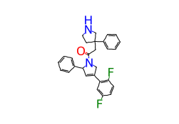 O=C(CC1(c2ccccc2)CCNC1)N1CC(c2cc(F)ccc2F)=CC1c1ccccc1